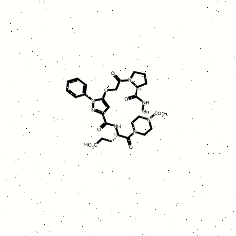 CC(C)(C)NC(=O)[C@@H]1CCCN1C(=O)COc1cc(C(=O)N[C@@H](CCC(=O)O)C(=O)N2CCN(C(=O)O)CC2)nn1-c1ccccc1